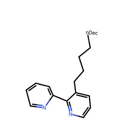 CCCCCCCCCCCCCCc1cccnc1-c1ccccn1